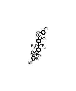 O=C1c2ccc(C(c3ccc4c(c3)C(=O)N(c3c(Br)cc(Br)cc3Br)C4=O)(C(F)(F)F)C(F)(F)F)cc2C(=O)N1c1ccc(Cl)cc1Cl